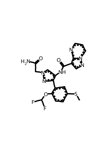 CSc1ccc(OC(F)F)c(-c2nn(CC(N)=O)cc2NC(=O)c2cnn3cccnc23)c1